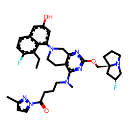 CCc1c(F)ccc2cc(O)cc(N3CCc4c(nc(OC[C@@]56CCCN5C[C@H](F)C6)nc4N(C)CCCC(=O)n4ccc(C)n4)C3)c12